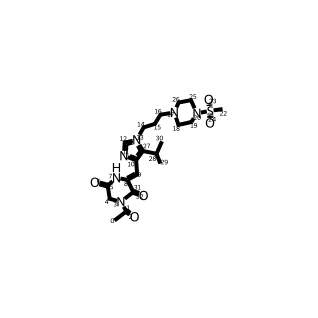 CC(=O)N1CC(=O)N/C(=C\c2ncn(CCCN3CCN(S(C)(=O)=O)CC3)c2C(C)C)C1=O